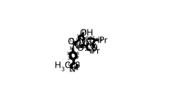 Cc1ncsc1-c1ccc(CNC(=O)C2CC(O)CN2C(=O)C(CC(C)C)N2CCC(C(C)C)C2=O)cc1